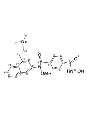 CON(C(=O)c1ccc(C(=O)NO)cc1)c1cc(CCN(C)C)c2ccccc2c1